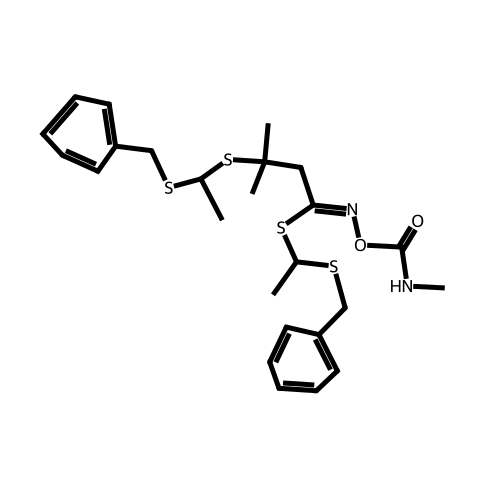 CNC(=O)ON=C(CC(C)(C)SC(C)SCc1ccccc1)SC(C)SCc1ccccc1